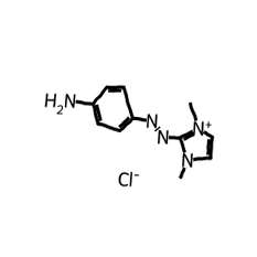 Cn1cc[n+](C)c1N=Nc1ccc(N)cc1.[Cl-]